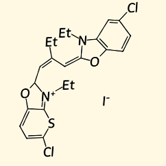 CCC(=CC1OC2=CC=C(Cl)SC2=[N+]1CC)C=C1Oc2ccc(Cl)cc2N1CC.[I-]